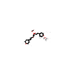 COc1cc(/C=C/C2(C(C)(C)C(=O)C=C[C@@]3(C)C=C(C#N)C(=O)C(C)(C)C3)OCCO2)ccc1O[Si](C)(C)C(C)(C)C